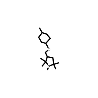 CC1CCC(OCC2CC(C)(C)N(C)C2(C)C)CC1